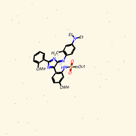 CCCCCCCCS(=O)(=O)Nc1cc(OC)ccc1C1=NC(c2ccccc2OC)=N/C1=N\c1ccc(N(CC)CC)cc1C